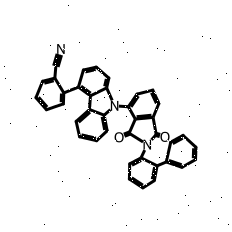 N#Cc1ccccc1-c1cccc2c1c1ccccc1n2-c1cccc2c1C(=O)N(c1ccccc1-c1ccccc1)C2=O